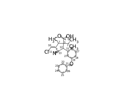 CC(C)C(C(=O)O)(C(C)C=CCl)C(C#N)c1cccc(Oc2ccccc2)c1